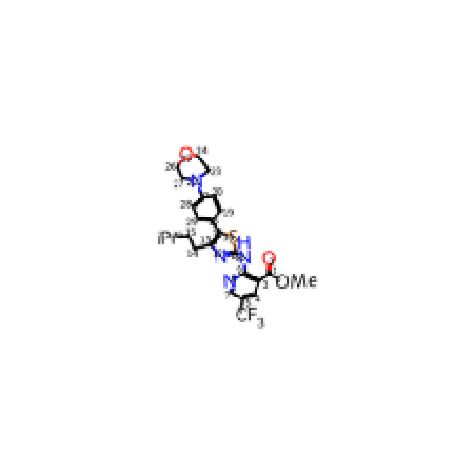 COC(=O)c1cc(C(F)(F)F)cnc1Nc1nc(CCC(C)C)c(-c2ccc(N3CCOCC3)cc2)s1